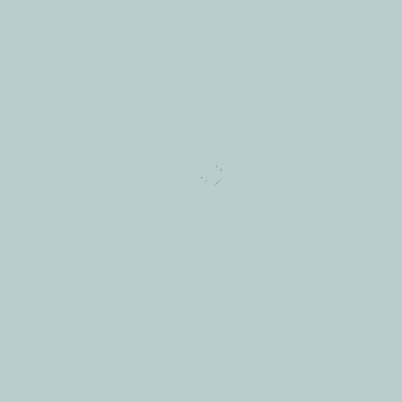 CCCCCCCCCCCN1C=CN(CCCCCC)C1CCC